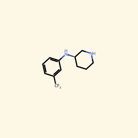 FC(F)(F)c1cccc(N[C@@H]2CCCNC2)c1